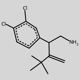 C=C(C(CN)c1ccc(Cl)c(Cl)c1)C(C)(C)C